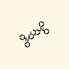 C=c1cc(N(c2ccccc2)c2ccccc2)cc/c1=C1\C=CC(N(c2ccccc2)c2ccccc2)=CC1C